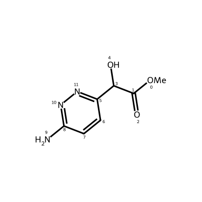 COC(=O)C(O)c1ccc(N)nn1